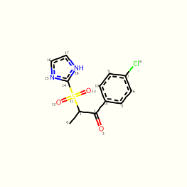 CC(C(=O)c1ccc(Cl)cc1)S(=O)(=O)c1ncc[nH]1